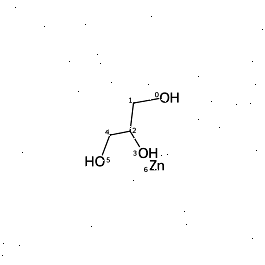 OCC(O)CO.[Zn]